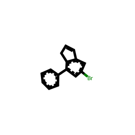 Brc1cc2c(c(-c3ccccc3)c1)CC=C2